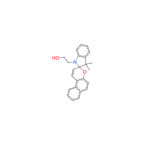 CC1(C)c2ccccc2N(CCO)C12C=Cc1c(ccc3ccccc13)O2